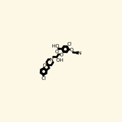 N#CCOc1cc(OC[C@H](O)CN2CCC3(CC2)Cc2cc(Cl)ccc2O3)c(C(=O)O)cc1Cl